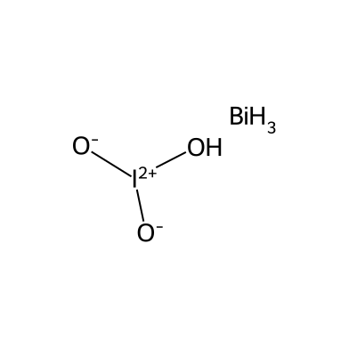 [BiH3].[O-][I+2]([O-])O